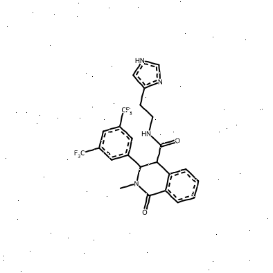 CN1C(=O)c2ccccc2C(C(=O)NCCc2c[nH]cn2)C1c1cc(C(F)(F)F)cc(C(F)(F)F)c1